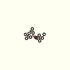 CC1(C)c2ccccc2-c2ccc(N(c3cccc(-c4cccc5c4C4(c6ccccc6-c6ccccc64)c4cccc(-c6ccccc6)c4-5)c3)c3ccc4c(c3)C(c3ccccc3)(c3ccccc3)c3ccccc3-4)cc21